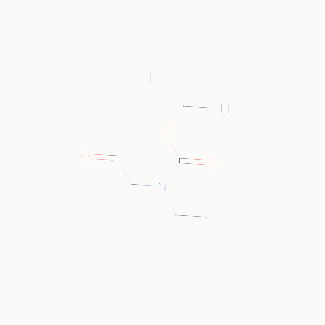 C=CC(C)N(CC=O)C(=O)OC(C)C